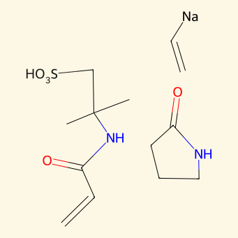 C=CC(=O)NC(C)(C)CS(=O)(=O)O.C=[CH][Na].O=C1CCCN1